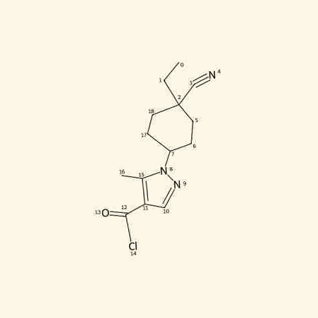 CCC1(C#N)CCC(n2ncc(C(=O)Cl)c2C)CC1